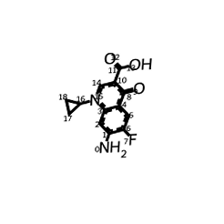 Nc1cc2c(cc1F)c(=O)c(C(=O)O)cn2C1CC1